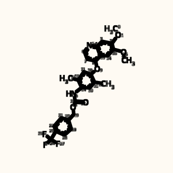 COc1cc2nccc(Oc3cc(C)c(NC(=O)OCc4ccc(C(F)(F)F)cc4)cc3C)c2cc1OC